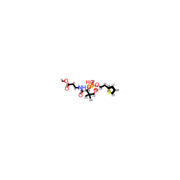 COC(=O)CCNC(=O)[C@@H]1O[PH](O)(OCCc2cccs2)OCC1(C)C